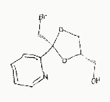 OC[C@H]1CO[C@](CBr)(c2ccccn2)O1